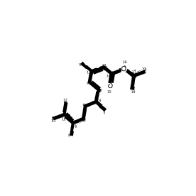 CC(C=CC(C)CCC(C)=C(C)C)=CC(=O)OC(C)C